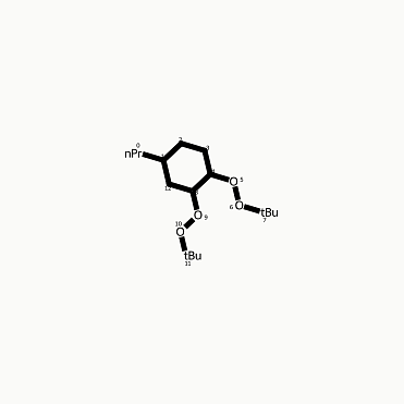 CCCC1CCC(OOC(C)(C)C)C(OOC(C)(C)C)C1